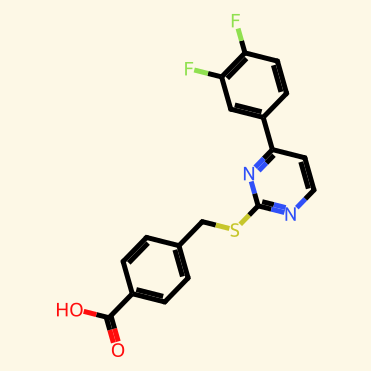 O=C(O)c1ccc(CSc2nccc(-c3ccc(F)c(F)c3)n2)cc1